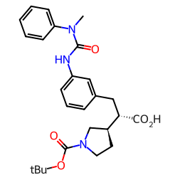 CN(C(=O)Nc1cccc(C[C@H](C(=O)O)[C@H]2CCN(C(=O)OC(C)(C)C)C2)c1)c1ccccc1